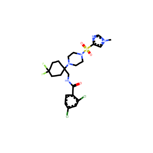 Cn1cnc(S(=O)(=O)N2CCN(C3(CNC(=O)c4ccc(Cl)cc4Cl)CCC(F)(F)CC3)CC2)c1